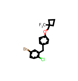 FC(F)(F)C1(COc2ccc(Cc3cc(Br)ccc3Cl)cc2)CCC1